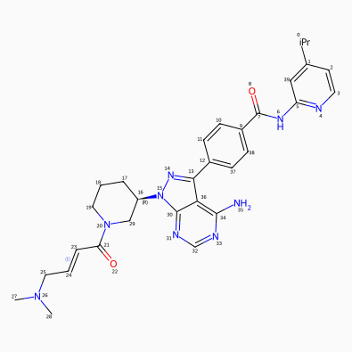 CC(C)c1ccnc(NC(=O)c2ccc(-c3nn([C@@H]4CCCN(C(=O)/C=C/CN(C)C)C4)c4ncnc(N)c34)cc2)c1